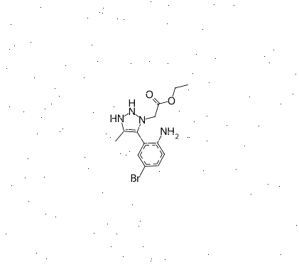 CCOC(=O)CN1NNC(C)=C1c1cc(Br)ccc1N